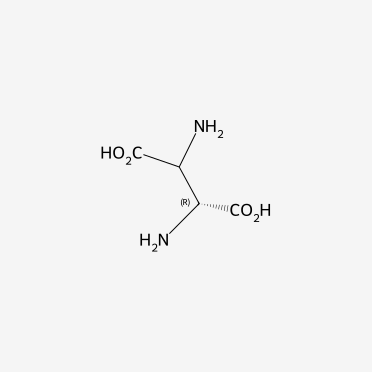 NC(C(=O)O)[C@@H](N)C(=O)O